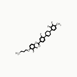 CCCCOc1ccc(OC(=O)c2ccc(C3=CCC(c4ccc(C)c(F)c4F)CC3)c(F)c2)c(F)c1F